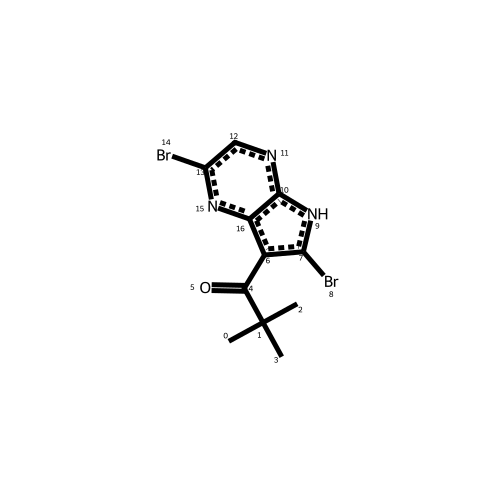 CC(C)(C)C(=O)c1c(Br)[nH]c2ncc(Br)nc12